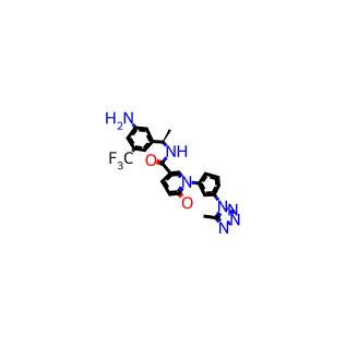 Cc1nnnn1-c1cccc(-n2cc(C(=O)N[C@H](C)c3cc(N)cc(C(F)(F)F)c3)ccc2=O)c1